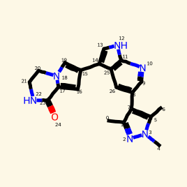 Cc1nn(C)c(C)c1-c1cnc2[nH]cc(-c3cc4n(c3)CCNC4=O)c2c1